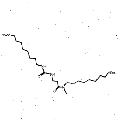 CCCCCCCCCCCCCCCCCCNC(=O)NCCC(=O)N(C)CCCCCCCCCCCCCCCCCC